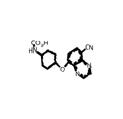 N#Cc1ccc(OC2CCC(NC(=O)O)CC2)c2nccnc12